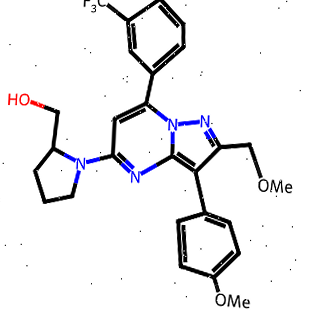 COCc1nn2c(-c3cccc(C(F)(F)F)c3)cc(N3CCCC3CO)nc2c1-c1ccc(OC)cc1